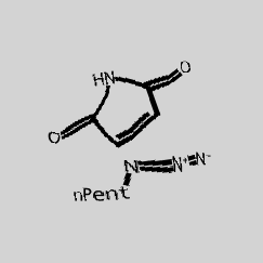 CCCCCN=[N+]=[N-].O=C1C=CC(=O)N1